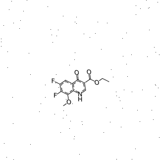 CCOC(=O)c1c[nH]c2c(OC)c(F)c(F)cc2c1=O